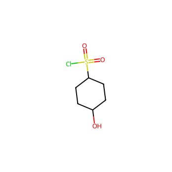 O=S(=O)(Cl)C1CCC(O)CC1